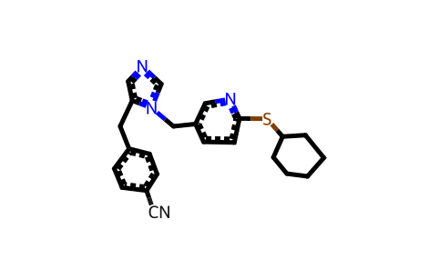 N#Cc1ccc(Cc2cncn2Cc2ccc(SC3CCCCC3)nc2)cc1